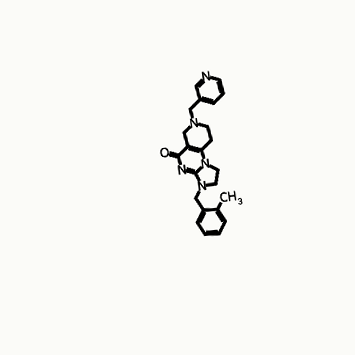 Cc1ccccc1CN1CCn2c1nc(=O)c1c2CCN(Cc2cccnc2)C1